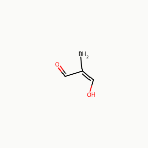 B/C(C=O)=C/O